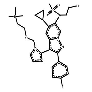 CC(C)CCN(c1cn2nc(-c3ccc(F)cc3)c(-c3nccn3COCC[Si](C)(C)C)c2cc1C1CC1)S(C)(=O)=O